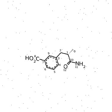 C[C@@H](Cc1cccc(C(=O)O)c1)C(N)=O